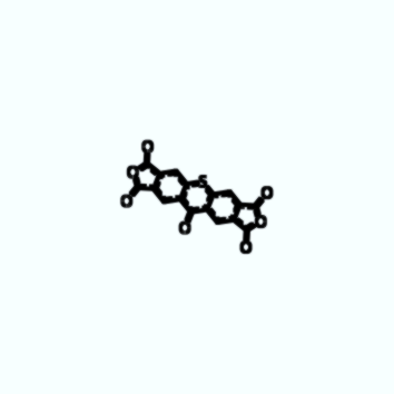 O=c1c2cc3c(=O)oc(=O)c3cc2sc2cc3c(=O)oc(=O)c3cc12